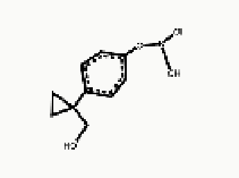 OCC1(c2ccc(OB(O)O)cc2)CC1